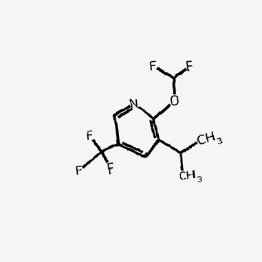 CC(C)c1cc(C(F)(F)F)cnc1OC(F)F